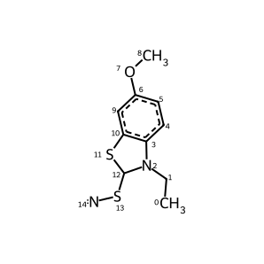 CCN1c2ccc(OC)cc2SC1S[N]